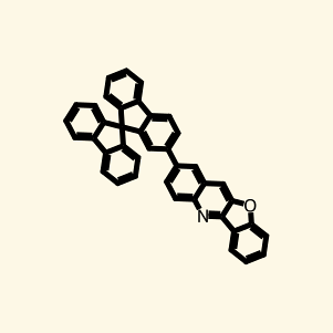 c1ccc2c(c1)-c1ccccc1C21c2ccccc2-c2ccc(-c3ccc4nc5c(cc4c3)oc3ccccc35)cc21